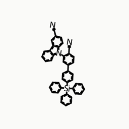 N#Cc1ccc2c(c1)c1ccccc1n2-c1cc(-c2ccc([Si](c3ccccc3)(c3ccccc3)c3ccccc3)cc2)ccc1C#N